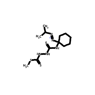 CSC(=S)NNC(=S)NC1(/N=N/C(C)C)CCCCC1